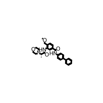 COCc1ccc(C(=O)Nc2ccc(-c3ccccc3)cc2)cc1NC(=O)[C@H](C)N1CCOCC1